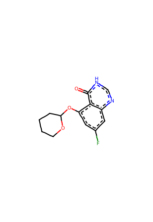 O=c1[nH]cnc2cc(F)cc(OC3CCCCO3)c12